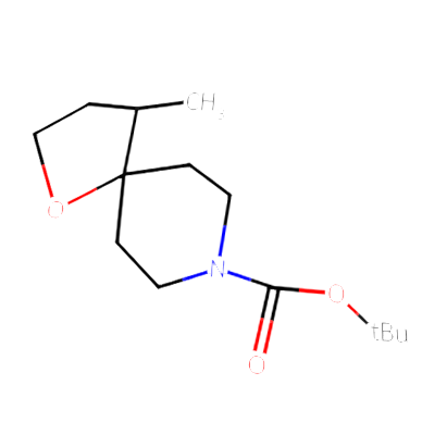 CC1CCOC12CCN(C(=O)OC(C)(C)C)CC2